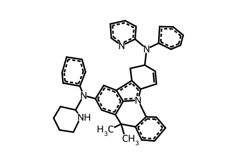 CC1(C)c2ccccc2-n2c3c(c4cc(N(c5ccccc5)C5CCCCN5)cc1c42)CC(N(c1ccccc1)c1ccccn1)C=C3